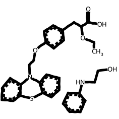 CCOC(Cc1ccc(OCCN2c3ccccc3Sc3ccccc32)cc1)C(=O)O.OCCNc1ccccc1